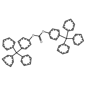 O=C(Oc1ccc(C(c2ccccc2)(c2ccccc2)c2ccccc2)cc1)Oc1ccc(C(c2ccccc2)(c2ccccc2)c2ccccc2)cc1